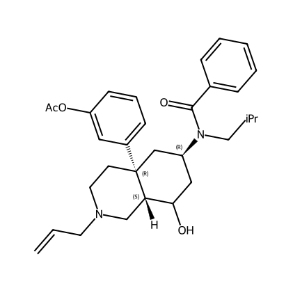 C=CCN1CC[C@@]2(c3cccc(OC(C)=O)c3)C[C@@H](N(CC(C)C)C(=O)c3ccccc3)CC(O)[C@@H]2C1